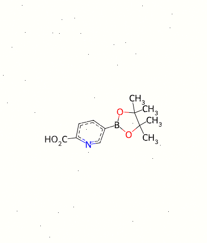 CC1(C)OB(c2ccc(C(=O)O)nc2)OC1(C)C